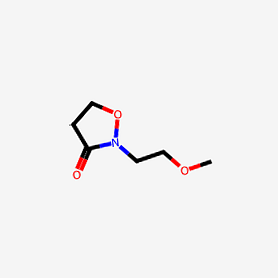 COCCN1OC[CH]C1=O